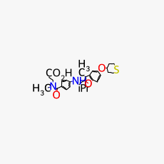 Cc1c(C(Nc2ccc(C(=O)N(C)CCC(=O)O)cc2)C(C)C)oc2ccc(OC3CCSCC3)cc12